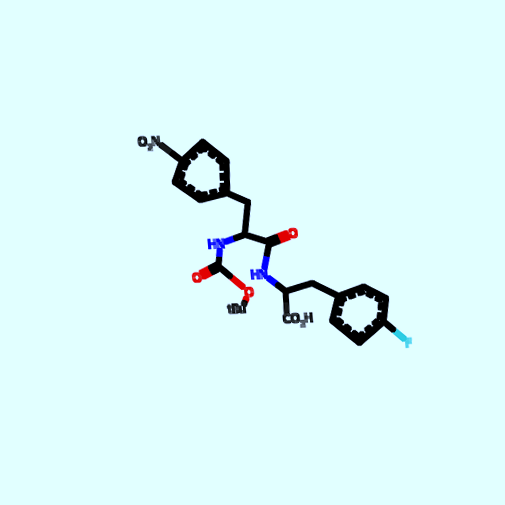 CC(C)(C)OC(=O)NC(Cc1ccc([N+](=O)[O-])cc1)C(=O)NC(Cc1ccc(F)cc1)C(=O)O